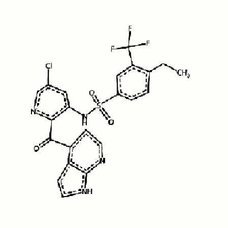 CCc1ccc(S(=O)(=O)Nc2cc(Cl)cnc2C(=O)c2ccnc3[nH]ccc23)cc1C(F)(F)F